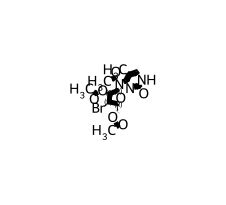 CC(=O)OC[C@H]1O[C@@H](N(C(C)=O)c2nc(=O)[nH]cc2C)[C@H](OC(C)=O)[C@H]1Br